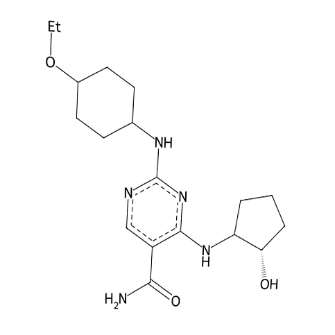 CCOC1CCC(Nc2ncc(C(N)=O)c(NC3CCC[C@@H]3O)n2)CC1